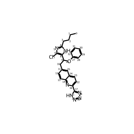 CCCCc1nc(Cl)c(C(Cc2ccc3nc(-c4nnn[nH]4)ccc3c2)Oc2ccccc2)[nH]1